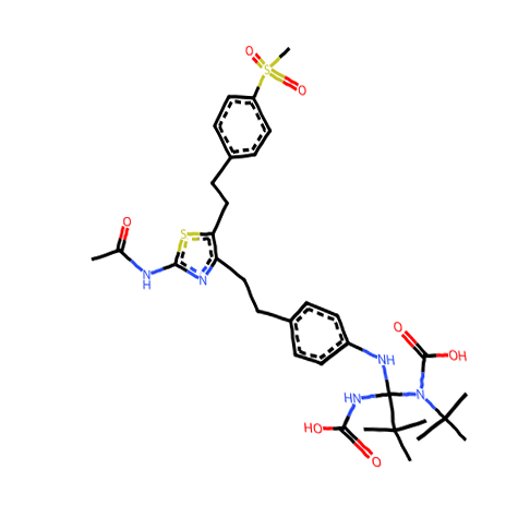 CC(=O)Nc1nc(CCc2ccc(NC(NC(=O)O)(N(C(=O)O)C(C)(C)C)C(C)(C)C)cc2)c(CCc2ccc(S(C)(=O)=O)cc2)s1